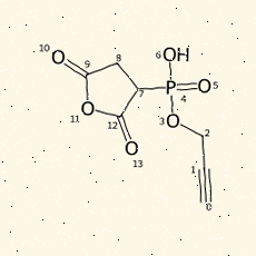 C#CCOP(=O)(O)C1CC(=O)OC1=O